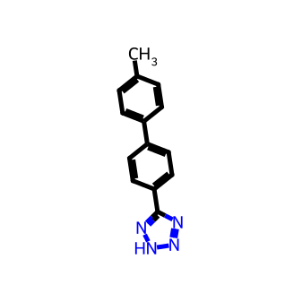 Cc1ccc(-c2ccc(-c3nn[nH]n3)cc2)cc1